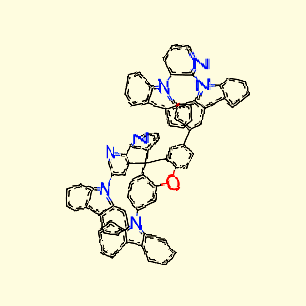 c1cnc(-n2c3ccccc3c3cc(-c4ccc5c(c4)C4(c6ccc(-n7c8ccccc8c8ccccc87)cc6O5)c5cccnc5-c5ncc(-n6c7ccccc7c7ccccc76)cc54)ccc32)c(-n2c3ccccc3c3ccccc32)c1